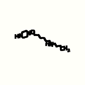 C=CCCNCCCCCCON1CCNCC1